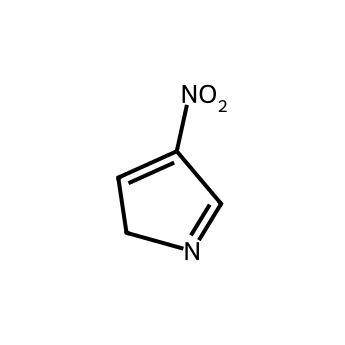 O=[N+]([O-])C1=CCN=C1